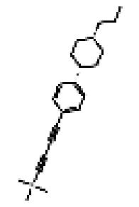 CCC[C@H]1CC[C@H](c2ccc(C#CC#C[Si](C)(C)C)cc2)CC1